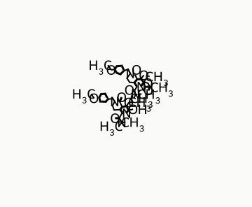 COc1ccc(CN2CCc3c(C(=O)N(C)C)nc(O)c(OC)c3C2=O)cc1.COc1ccc(CN2CCc3c(C(=O)N(C)C)nc(OC(C)=O)c(OC)c3C2=O)cc1